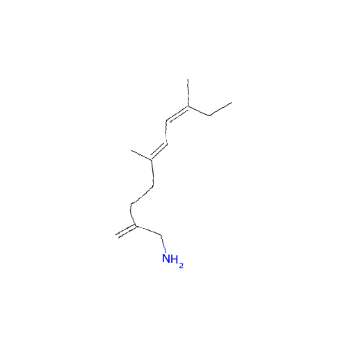 C=C(CN)CC/C(C)=C/C=C(/C)CC